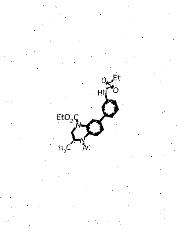 CCOC(=O)N1C[C@H](C)N(C(C)=O)c2ccc(-c3cccc(NS(=O)(=O)CC)c3)cc21